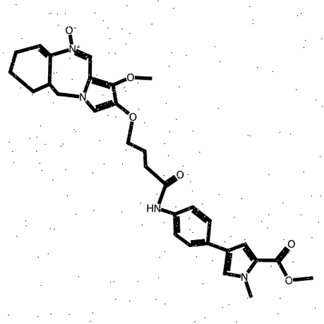 COC(=O)c1cc(-c2ccc(NC(=O)CCCOc3cn4c(c3OC)C=[N+]([O-])C3=CCCCC3C4)cc2)cn1C